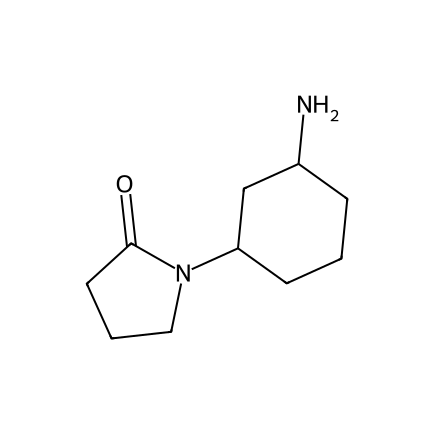 NC1CCCC(N2CCCC2=O)C1